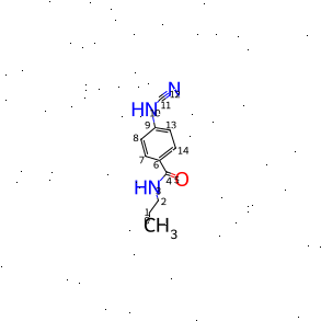 CCCNC(=O)c1ccc(NC#N)cc1